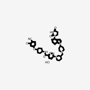 Cl.N#Cc1ccc(OC2CCC(NC(=O)c3ccc(N4CCCC(CN5CCC(n6ccc7c(N8CCC(=O)NC8=O)cccc76)CC5)C4)nn3)CC2)cc1Cl